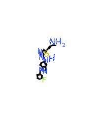 CC(N)C#Cc1cc2ncnc(Nc3ccc4c(cnn4Cc4cccc(F)c4)c3)c2s1